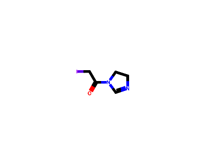 O=C(CI)N1C=NCC1